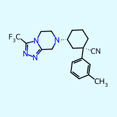 Cc1cccc([C@]2(C#N)CCC[C@@H](N3CCn4c(nnc4C(F)(F)F)C3)C2)c1